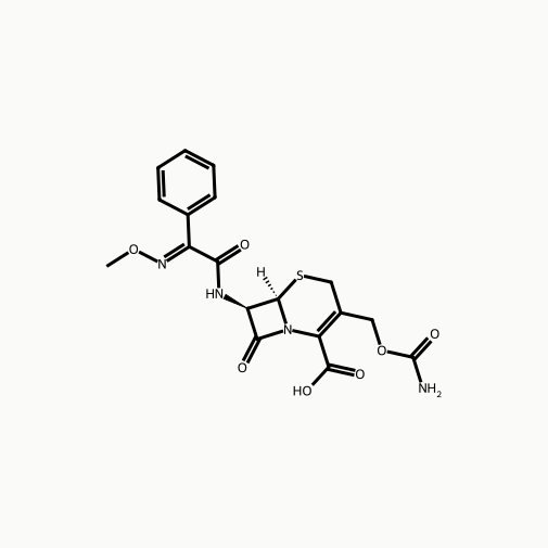 CON=C(C(=O)N[C@@H]1C(=O)N2C(C(=O)O)=C(COC(N)=O)CS[C@H]12)c1ccccc1